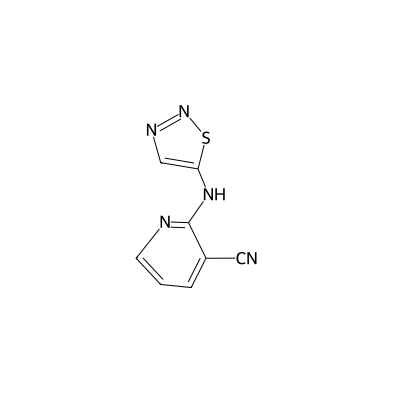 N#Cc1cccnc1Nc1cnns1